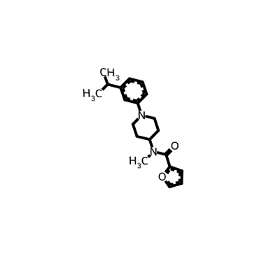 CC(C)c1cccc(N2CCC(N(C)C(=O)c3ccco3)CC2)c1